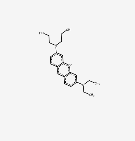 CCN(CC)c1ccc2nc3ccc(N(CCO)CCO)cc3[o+]c2c1